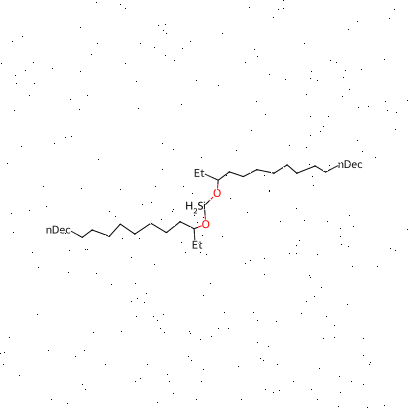 CCCCCCCCCCCCCCCCCCC(CC)O[SiH2]OC(CC)CCCCCCCCCCCCCCCCCC